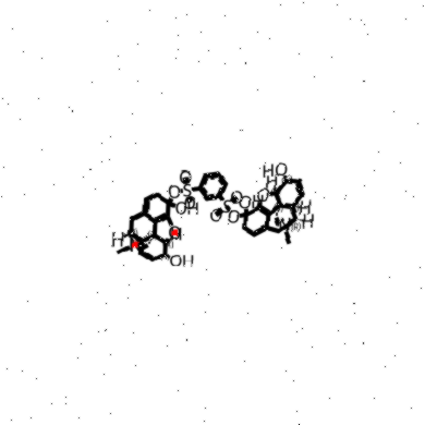 CN1CC[C@]23C4=C5O[C@H]2[C@@H](O)C=C[C@H]3[C@H]1CC4=CCC5(O)OS(=O)(=O)c1cccc(S(=O)(=O)OC2(O)CC=C3C[C@@H]4[C@@H]5C=C[C@H](O)[C@@H]6OC2=C3[C@]56CCN4C)c1